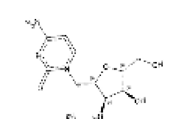 Nc1ccn(C[C@@H]2O[C@H](CO)[C@@H](O)[C@H]2O)c(=O)n1.[KH]